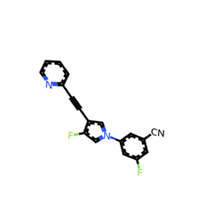 N#Cc1cc(F)cc(-n2cc(F)c(C#Cc3ccccn3)c2)c1